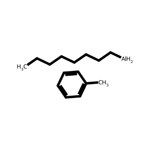 CCCCCCC[CH2][AlH2].Cc1ccccc1